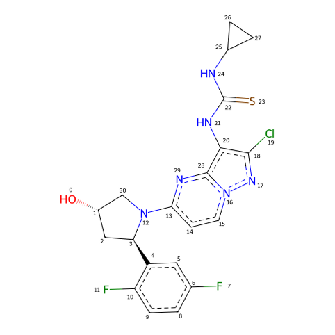 O[C@H]1C[C@H](c2cc(F)ccc2F)N(c2ccn3nc(Cl)c(NC(=S)NC4CC4)c3n2)C1